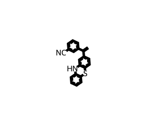 C=C(c1cccc(C#N)c1)c1ccc2c(c1)Nc1ccccc1S2